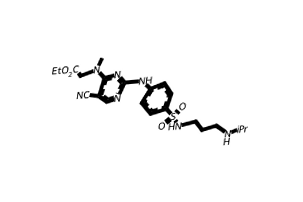 CCOC(=O)CN(C)c1nc(Nc2ccc(S(=O)(=O)NCCCNC(C)C)cc2)ncc1C#N